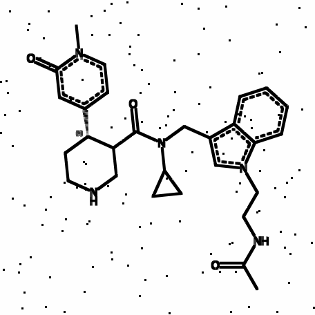 CC(=O)NCCn1cc(CN(C(=O)C2CNCC[C@@H]2c2ccn(C)c(=O)c2)C2CC2)c2ccccc21